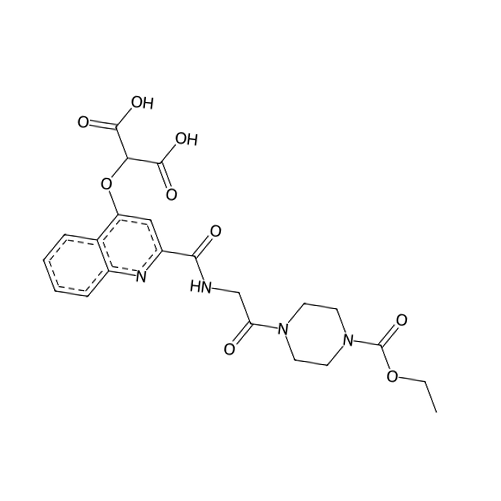 CCOC(=O)N1CCN(C(=O)CNC(=O)c2cc(OC(C(=O)O)C(=O)O)c3ccccc3n2)CC1